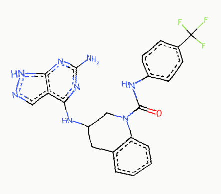 Nc1nc(NC2Cc3ccccc3N(C(=O)Nc3ccc(C(F)(F)F)cc3)C2)c2cn[nH]c2n1